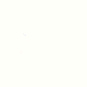 CCN(CC)OC(=O)c1cc(-c2ccc(F)cc2F)ccc1O